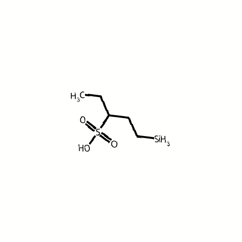 CCC(CC[SiH3])S(=O)(=O)O